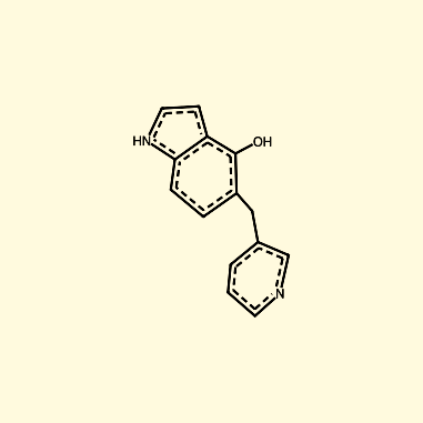 Oc1c(Cc2cccnc2)ccc2[nH]ccc12